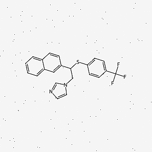 FC(F)(F)c1ccc(SC(Cn2ccnc2)c2ccc3ccccc3c2)cc1